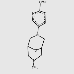 COc1ccc(N2CC3CN(C)CC(C2)O3)cn1